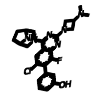 CN(C)C1CN(c2nc(N3CC4CCC(C3)N4)c3cc(Cl)c(-c4cccc(O)c4)c(F)c3n2)C1